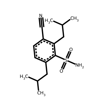 CC(C)Cc1ccc(C#N)c(CC(C)C)c1S(N)(=O)=O